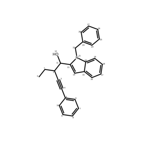 CCC(C#Cc1ccccc1)C(O)c1cc2ccccc2n1Cc1ccccc1